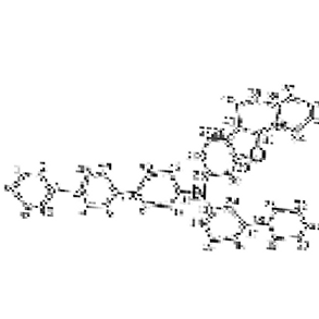 c1ccc(-c2ccc(-c3ccc(N(c4cccc(-c5ccccc5)c4)c4ccc5c(c4)oc4c6ccccc6ccc54)cc3)cc2)cc1